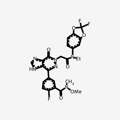 CCN(C(=O)Cn1nc(-c2ccc(F)c(C(=O)N(C)OC)c2)c2[nH]cnc2c1=O)c1ccc2c(c1)OC(F)(F)O2